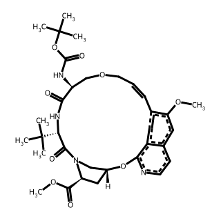 COC(=O)[C@@H]1C[C@@H]2CN1C(=O)[C@H](C(C)(C)C)NC(=O)[C@@H](NC(=O)OC(C)(C)C)COCC=Cc1cc3c(nccc3cc1OC)O2